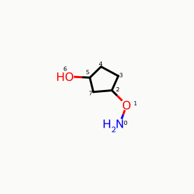 NOC1CCC(O)C1